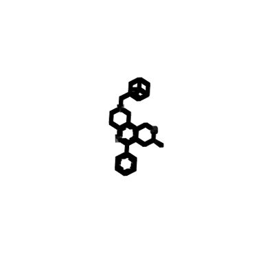 C[C@H]1Cc2c(-c3ccccc3)nc3c(c2CO1)CN(CC1=CC2CC(C1)C2(C)C)CC3